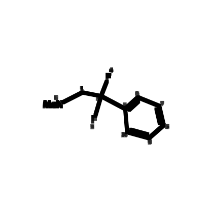 CNCC(F)(F)c1ccccc1